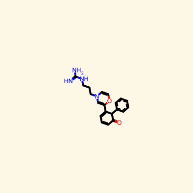 N=C(N)NCCCN1C=COC(C2=CC=CC(=O)C2c2ccccc2)=C1